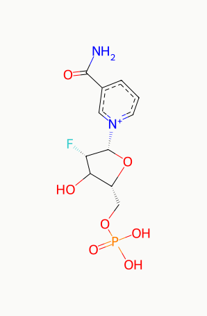 NC(=O)c1ccc[n+]([C@@H]2O[C@H](COP(=O)(O)O)C(O)[C@@H]2F)c1